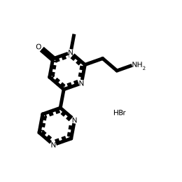 Br.Cn1c(CCN)nc(-c2ccncn2)cc1=O